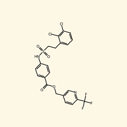 O=C(OCc1ccc(C(F)(F)F)nc1)c1ccc(NS(=O)(=O)CCc2cccc(Cl)c2Cl)cc1